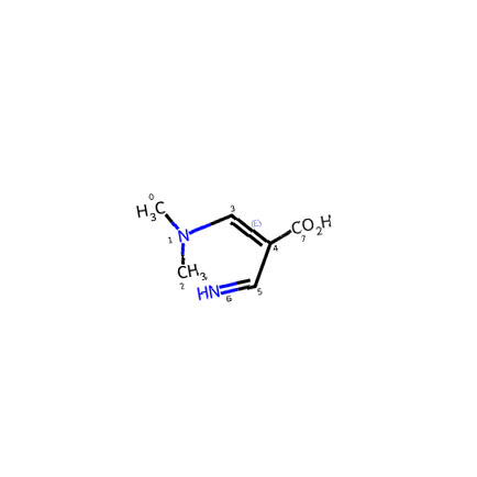 CN(C)/C=C(\C=N)C(=O)O